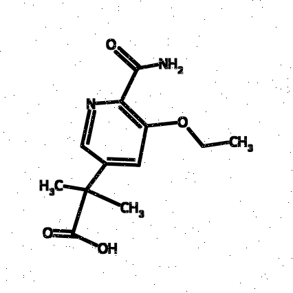 CCOc1cc(C(C)(C)C(=O)O)cnc1C(N)=O